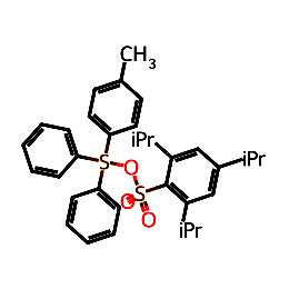 Cc1ccc(S(OS(=O)(=O)c2c(C(C)C)cc(C(C)C)cc2C(C)C)(c2ccccc2)c2ccccc2)cc1